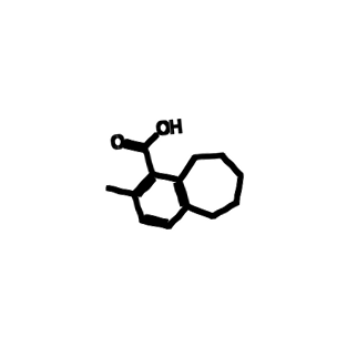 Cc1ccc2c(c1C(=O)O)CCCCC2